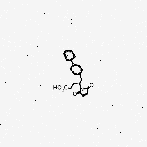 O=C(O)CC[C@@H](Cc1ccc(-c2ccccc2)cc1)N1C(=O)C=CC1=O